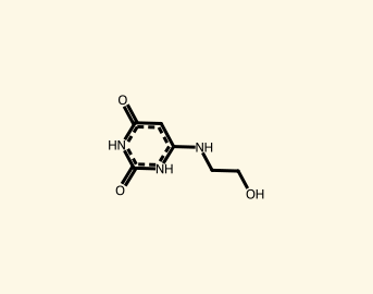 O=c1cc(NCCO)[nH]c(=O)[nH]1